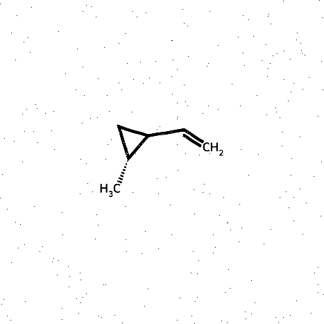 C=CC1C[C@H]1C